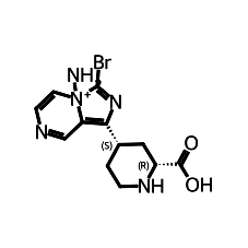 N[N+]12C=CN=CC1=C([C@H]1CCN[C@@H](C(=O)O)C1)N=C2Br